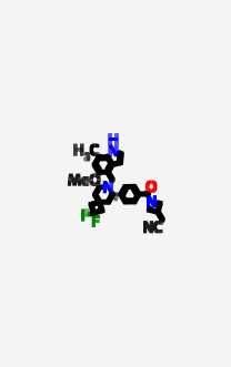 COc1cc(C)c2[nH]ccc2c1CN1CCC2(C[C@H]1c1ccc(C(=O)N3CC(CC#N)C3)cc1)CC(F)(F)C2